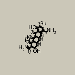 CC(C)(C)c1cc(CN)c2c(c1O)C(=O)C1=C(O)[C@]3(O)C(=O)C(C(N)=O)C(O)C[C@@H]3C[C@@H]1C2